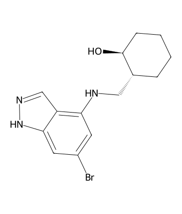 O[C@H]1CCCC[C@@H]1CNc1cc(Br)cc2[nH]ncc12